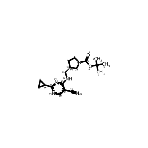 CC(C)(C)OC(=O)N1CC[C@H](CNc2nc(C3CC3)ncc2C#N)C1